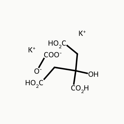 O=C(O)CC(O)(CC(=O)O)C(=O)O.O=C([O-])[O-].[K+].[K+]